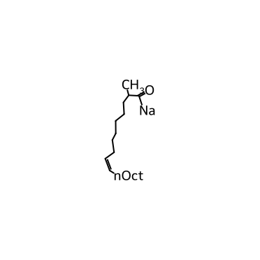 CCCCCCCC/C=C\CCCCCCC(C)[C](=O)[Na]